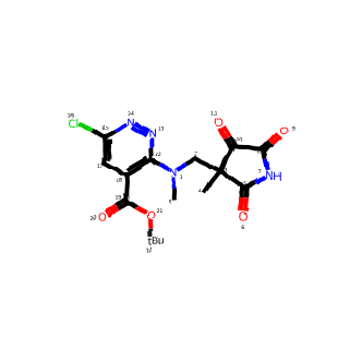 CN(CC1(C)C(=O)NC(=O)C1=O)c1nnc(Cl)cc1C(=O)OC(C)(C)C